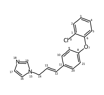 Clc1ccccc1Oc1ccc(C=CCn2ccnc2)cc1